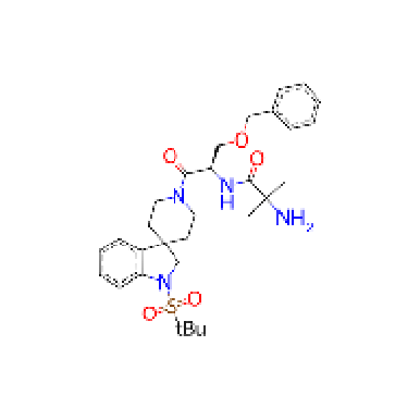 CC(C)(N)C(=O)N[C@H](COCc1ccccc1)C(=O)N1CCC2(CC1)CN(S(=O)(=O)C(C)(C)C)c1ccccc12